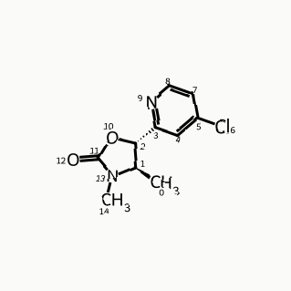 C[C@@H]1[C@@H](c2cc(Cl)ccn2)OC(=O)N1C